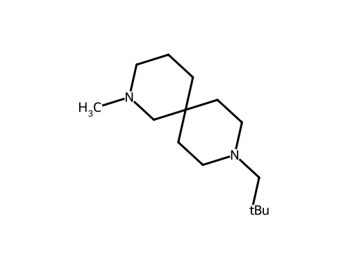 CN1CCCC2(CCN(CC(C)(C)C)CC2)C1